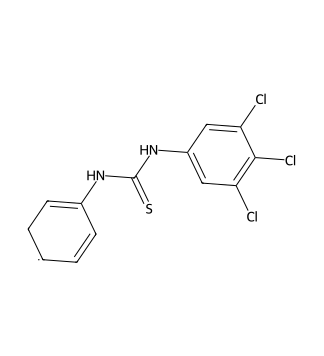 S=C(NC1=CC[CH]C=C1)Nc1cc(Cl)c(Cl)c(Cl)c1